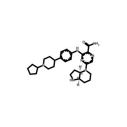 NC(=O)c1ncc(N2CCC[C@H]3NCC[C@H]32)nc1Nc1ccc(C2CCN(C3CCCC3)CC2)cc1